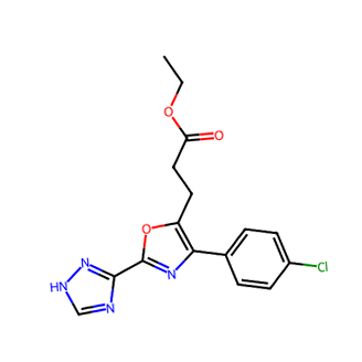 CCOC(=O)CCc1oc(-c2nc[nH]n2)nc1-c1ccc(Cl)cc1